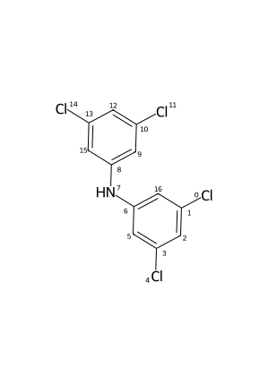 Clc1cc(Cl)cc(Nc2cc(Cl)cc(Cl)c2)c1